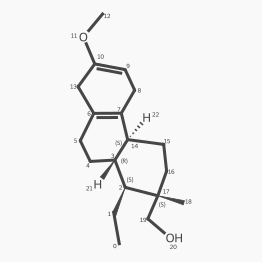 CC[C@H]1[C@@H]2CCC3=C(CC=C(OC)C3)[C@H]2CC[C@]1(C)CO